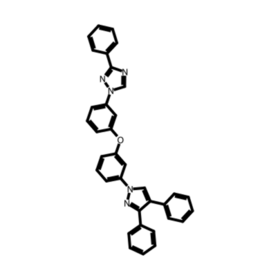 c1ccc(-c2ncn(-c3cccc(Oc4cccc(-n5cc(-c6ccccc6)c(-c6ccccc6)n5)c4)c3)n2)cc1